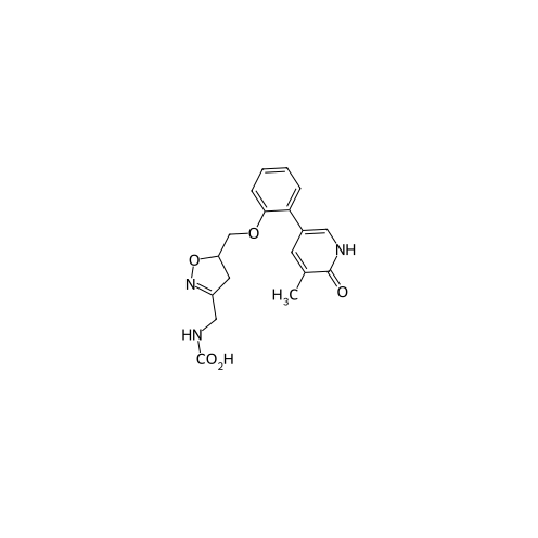 Cc1cc(-c2ccccc2OCC2CC(CNC(=O)O)=NO2)c[nH]c1=O